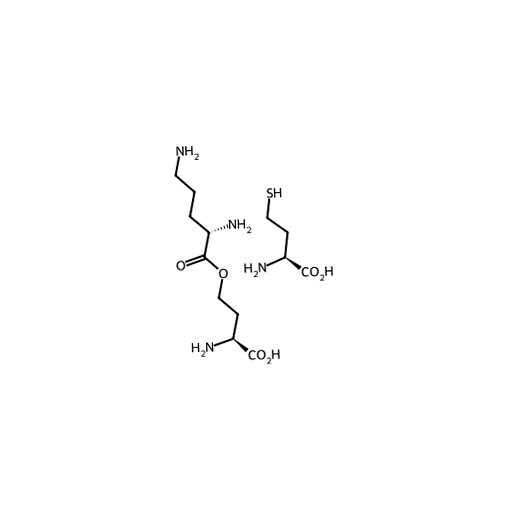 NCCC[C@H](N)C(=O)OCC[C@H](N)C(=O)O.N[C@@H](CCS)C(=O)O